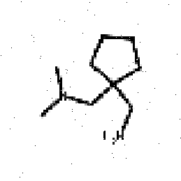 CN(C)CC1(CN)CCCC1